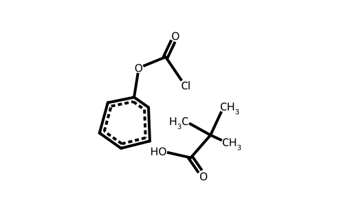 CC(C)(C)C(=O)O.O=C(Cl)Oc1ccccc1